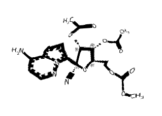 COC(=O)OC[C@H]1O[C@@](C#N)(c2ccc3c(N)ccnn23)[C@H](OC(C)=O)[C@@H]1OC(C)=O